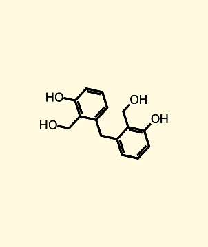 OCc1c(O)cccc1Cc1cccc(O)c1CO